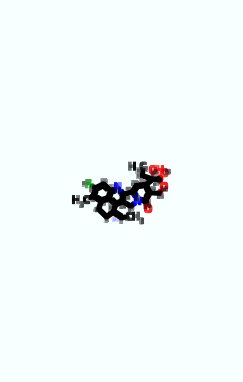 C/C=C1/CCc2c(C)c(F)cc3nc4c(c1c23)Cn1c-4cc2c(c1=O)COC(=O)[C@]2(O)CC